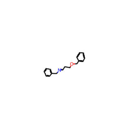 C(CCOCc1ccccc1)=NCc1ccccc1